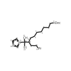 CCCCCCCCCCCCCCCCCC(CCC(C)C)C(C)(CC)n1ccnc1